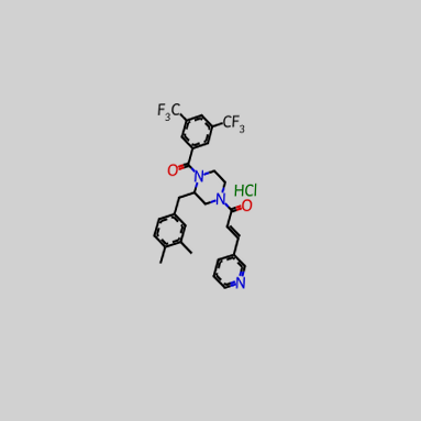 Cc1ccc(CC2CN(C(=O)/C=C/c3cccnc3)CCN2C(=O)c2cc(C(F)(F)F)cc(C(F)(F)F)c2)cc1C.Cl